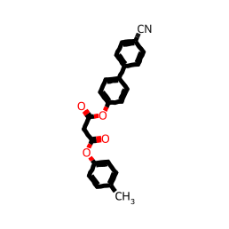 Cc1ccc(OC(=O)CC(=O)Oc2ccc(-c3ccc(C#N)cc3)cc2)cc1